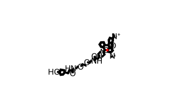 CN(C)c1ccc2c(-c3ccccc3C(=O)N3CCN(CC(=O)NCCOCCOCCNC(=O)/C=C/c4ccc(O)cc4)CC3)c3ccc(=[N+](C)C)cc-3oc2c1